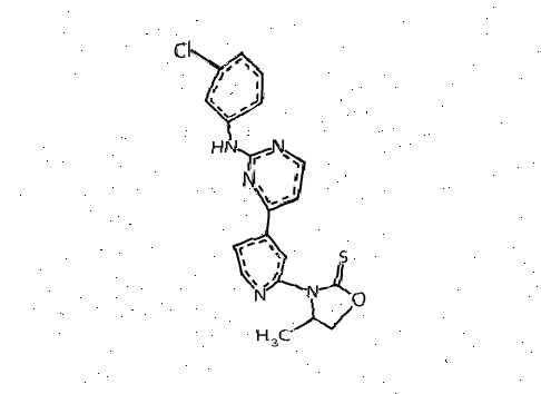 CC1COC(=S)N1c1cc(-c2ccnc(Nc3cccc(Cl)c3)n2)ccn1